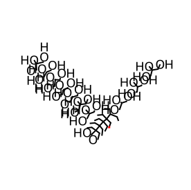 CCC(CC)C(CC)(CC)C(CC)(CC)C(CC)(CC)C(CC)(CC)C(=O)O.OCC(O)CO.OCC(O)CO.OCC(O)CO.OCC(O)CO.OCC(O)CO.OCC(O)CO.OCC(O)CO.OCC(O)CO.OCC(O)CO.OCC(O)CO